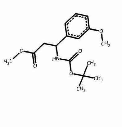 COC(=O)CC(NC(=O)OC(C)(C)C)c1cccc(OC)c1